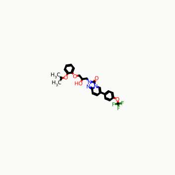 CC(C)Oc1ccccc1OCC(O)Cn1nc2ccc(-c3ccc(OC(F)(F)F)cc3)cn2c1=O